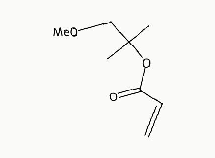 C=CC(=O)OC(C)(C)COC